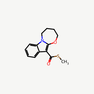 CSC(=O)c1c2n(c3ccccc13)CCCCO2